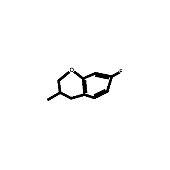 CC1COc2cc(F)ccc2C1